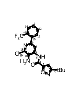 CC(C)(C)c1cc(C(=O)Nc2cc(-c3ccccc3C(F)(F)F)nc(Cl)c2N)on1